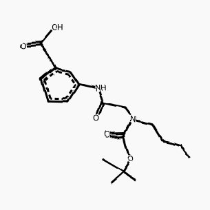 CCCCN(CC(=O)Nc1cccc(C(=O)O)c1)C(=O)OC(C)(C)C